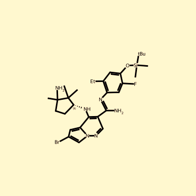 CCc1cc(O[Si](C)(C)C(C)(C)C)c(F)cc1N=C(N)c1cnn2cc(Br)cc2c1N[C@@H]1CCC(C)(N)C1(C)C